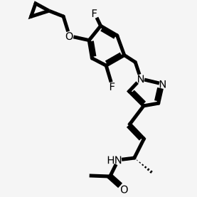 CC(=O)N[C@@H](C)/C=C/c1cnn(Cc2cc(F)c(OCC3CC3)cc2F)c1